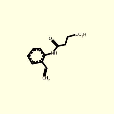 C=Cc1ccccc1NC(=O)CCC(=O)O